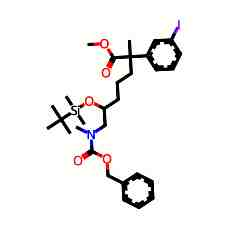 COC(=O)C(C)(CCCC(CN(C)C(=O)OCc1ccccc1)O[Si](C)(C)C(C)(C)C)c1cccc(I)c1